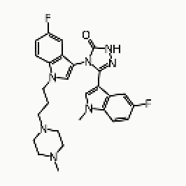 CN1CCN(CCCn2cc(-n3c(-c4cn(C)c5ccc(F)cc45)n[nH]c3=O)c3cc(F)ccc32)CC1